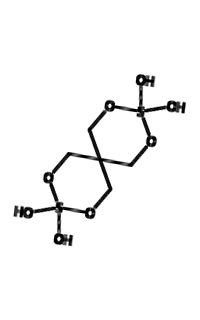 OS1(O)OCC2(CO1)COS(O)(O)OC2